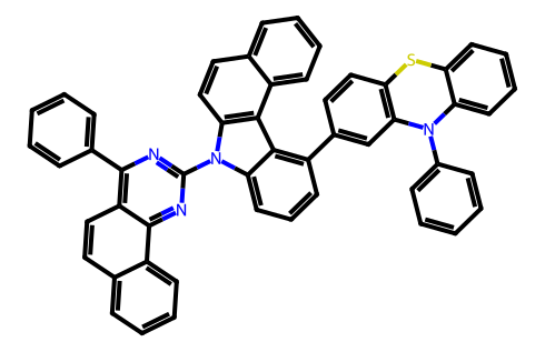 c1ccc(-c2nc(-n3c4cccc(-c5ccc6c(c5)N(c5ccccc5)c5ccccc5S6)c4c4c5ccccc5ccc43)nc3c2ccc2ccccc23)cc1